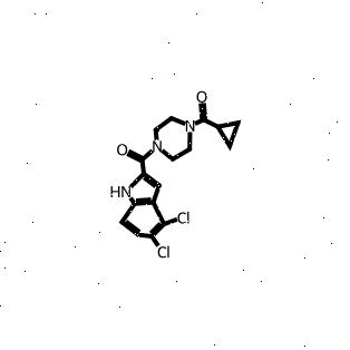 O=C(c1cc2c(Cl)c(Cl)ccc2[nH]1)N1CCN(C(=O)C2CC2)CC1